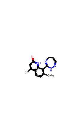 CCc1cc(=O)[nH]c2c(C3=NCC=C=NN3)c(OC)ccc12